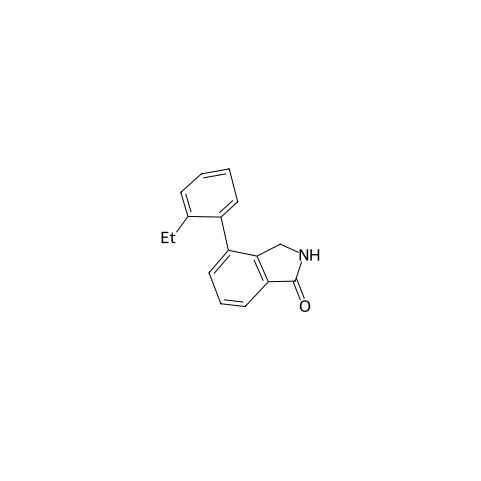 CCc1ccccc1-c1cccc2c1CNC2=O